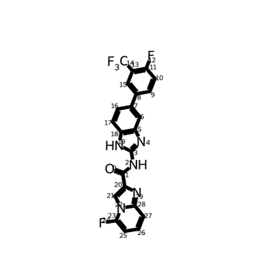 O=C(Nc1nc2cc(-c3ccc(F)c(C(F)(F)F)c3)ccc2[nH]1)c1cn2c(F)cccc2n1